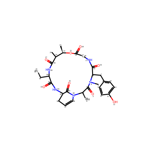 CCC(C)C1C(=O)N(C)C(Cc2ccc(O)cc2)C(=O)NCC(=O)O[C@H](C)C(C)C(=O)NC(CC(C)C)C(=O)NC2CC=CN1C2=O